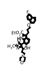 CCOC(=O)c1[nH]c2c(-c3c(C(O)CCN4CCOCC4)nn(C)c3CC)c(F)ccc2c1CCCOc1cccc2cc(F)ccc12